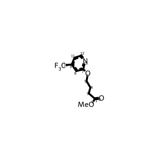 COC(=O)CCCOc1cc(C(F)(F)F)ccn1